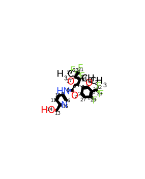 COc1c([C@@H]2[C@@H](C(=O)Nc3ccc(CO)nc3)O[C@](C)(C(F)(F)F)[C@@H]2C)ccc(F)c1C(F)F